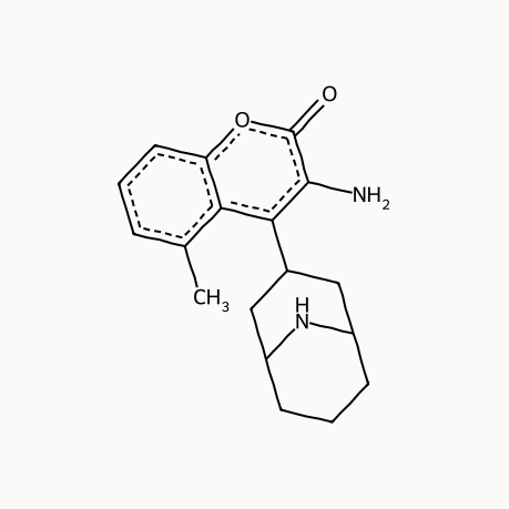 Cc1cccc2oc(=O)c(N)c(C3CC4CCCC(C3)N4)c12